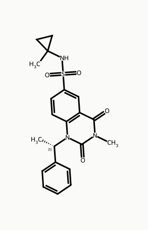 C[C@@H](c1ccccc1)n1c(=O)n(C)c(=O)c2cc(S(=O)(=O)NC3(C)CC3)ccc21